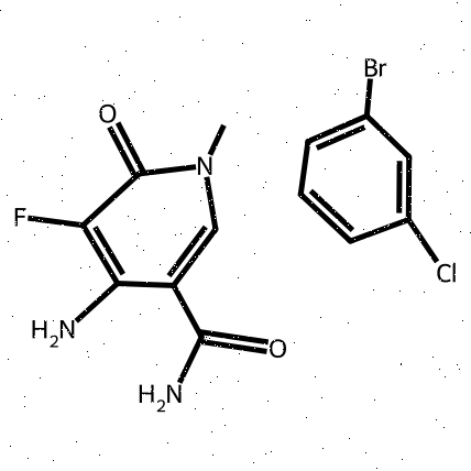 Clc1cccc(Br)c1.Cn1cc(C(N)=O)c(N)c(F)c1=O